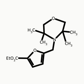 CCOC(=O)c1ccc(CN2C(C)(C)COCC2(C)C)o1